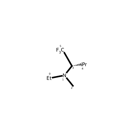 CCN(C)[C@@H](C(C)C)C(F)(F)F